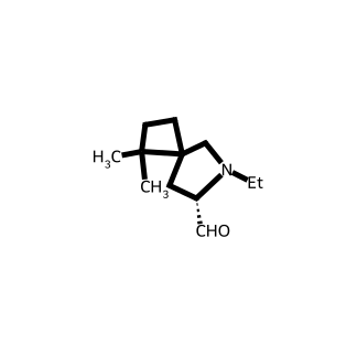 CCN1CC2(CCC2(C)C)C[C@H]1C=O